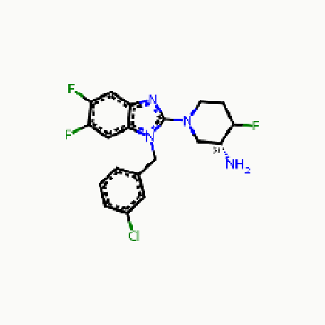 N[C@@H]1CN(c2nc3cc(F)c(F)cc3n2Cc2cccc(Cl)c2)CCC1F